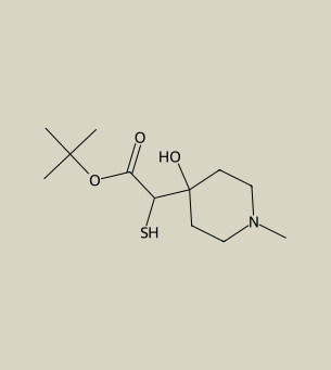 CN1CCC(O)(C(S)C(=O)OC(C)(C)C)CC1